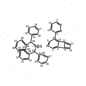 c1ccc(-c2cccc3c4ccc-4c23)cc1.c1ccc(C(NC(c2ccccc2)c2ccccc2)c2ccccc2)cc1